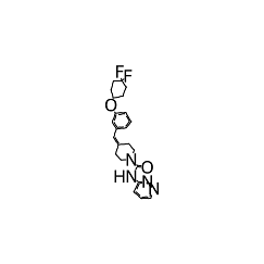 O=C(Nc1cccnn1)N1CCC(=Cc2cccc(OC3CCC(F)(F)CC3)c2)CC1